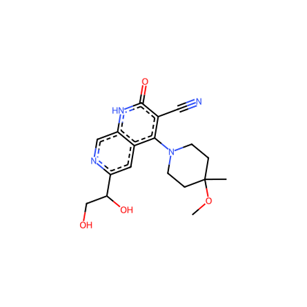 COC1(C)CCN(c2c(C#N)c(=O)[nH]c3cnc(C(O)CO)cc23)CC1